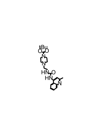 Cc1cc(NC(=O)NCCN2CCN(C(=O)OC(C)(C)C)CC2)c2ccccc2n1